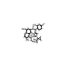 CCc1nc(F)ccc1[C@H](Nc1cc(C#N)c2ncc(C#N)c(NCC(C)(C)C)c2c1)C1=CN(C2(C(F)F)CC2)NN1